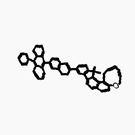 CC1(C)c2ccc(C3=Cc4ccc(-c5c6ccccc6c(-c6ccccc6)c6ccccc56)cc4CC3)cc2-c2ccc3ccc4c(c3c21)C/C=C\C=C/CO4